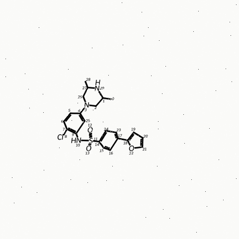 CC1CN(c2ccc(Cl)c(NS(=O)(=O)c3ccc(-c4ccco4)cc3)c2)CC(C)N1